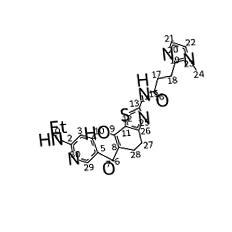 CCNc1ccc(C(=O)C2=C(O)c3sc(NC(=O)CCc4nccn4C)nc3CC2)cn1